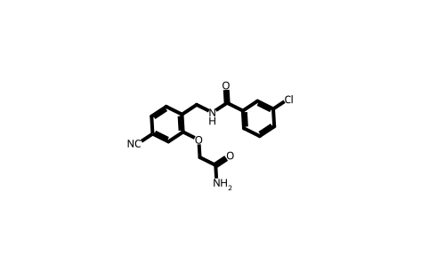 N#Cc1ccc(CNC(=O)c2cccc(Cl)c2)c(OCC(N)=O)c1